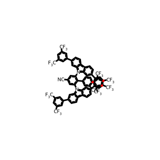 N#Cc1cccc(-c2c(-n3c4cc(-c5cc(C(F)(F)F)cc(C(F)(F)F)c5)ccc4c4ccc(-c5cc(C(F)(F)F)cc(C(F)(F)F)c5)cc43)cc(C#N)cc2-n2c3cc(-c4cc(C(F)(F)F)cc(C(F)(F)F)c4)ccc3c3ccc(-c4cc(C(F)(F)F)cc(C(F)(F)F)c4)cc32)c1